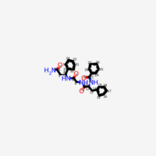 NC(=O)C[C@H](NC(=O)CNC(=O)C(Cc1ccccc1)NC(=O)c1ccccc1)c1ccccc1